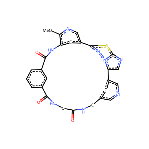 COc1ncc2cc1NC(=O)c1cccc(c1)C(=O)NCC(=O)NCc1cncc(c1)-c1cnc3sc-2nn13